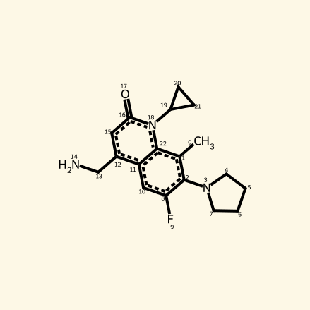 Cc1c(N2CCCC2)c(F)cc2c(CN)cc(=O)n(C3CC3)c12